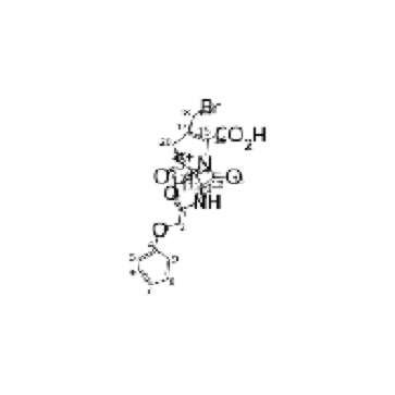 O=C(COc1ccccc1)N[C@@H]1C(=O)N2C(C(=O)O)=C(CBr)C[S@+]([O-])[C@H]12